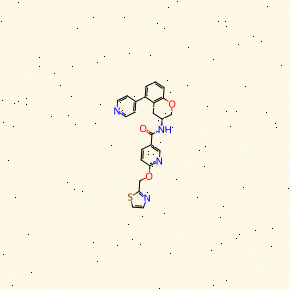 O=C(N[C@@H]1COc2cccc(-c3ccncc3)c2C1)c1ccc(OCc2nccs2)nc1